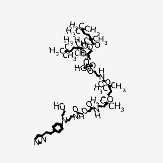 CC(C)(C)CCC(C)(C)C(=O)OCC(COP(=O)(O)OCCNC(=O)OC(C)(C)CCOC(C)(C)CCNC(=O)COCC(=O)NCCN(CCO)c1ccc(/C=C/c2ccncn2)cc1)OC(=O)C(C)(C)CCC(C)(C)C